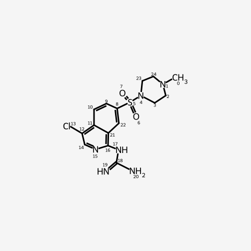 CN1CCN(S(=O)(=O)c2ccc3c(Cl)cnc(NC(=N)N)c3c2)CC1